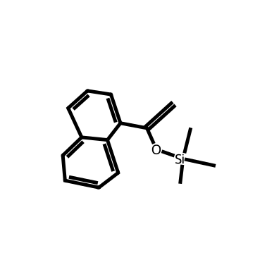 C=C(O[Si](C)(C)C)c1cccc2ccccc12